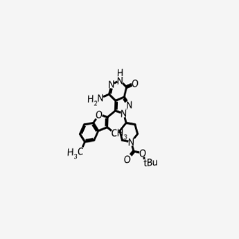 Cc1ccc2oc(-c3c4c(N)n[nH]c(=O)c4nn3C3CCN(C(=O)OC(C)(C)C)CC3)c(C)c2c1